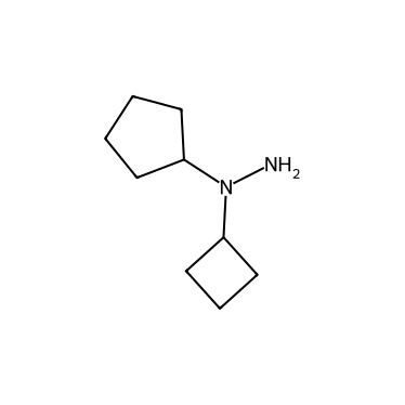 NN(C1CCCC1)C1CCC1